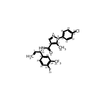 C=C[C@H](NC(=O)c1cnn(-c2ccc(Cl)cc2)c1C)c1ccc(F)c(C(F)(F)F)c1